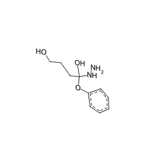 NNC(O)(CCCO)Oc1ccccc1